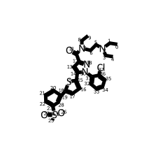 CCN(CC)CCN(CC)C(=O)c1cc(-c2ccc(-c3cccc(S(C)(=O)=O)c3)s2)n(-c2ccccc2Cl)n1